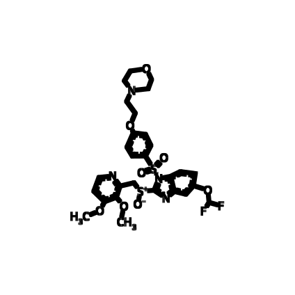 COc1ccnc(C[S+]([O-])c2nc3cc(OC(F)F)ccc3n2S(=O)(=O)c2ccc(OCCN3CCOCC3)cc2)c1OC